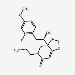 CCC[C@H]1C[C@]2([C@H](C)Cc3ccc(OC)cc3F)OCOC2=CC1=O